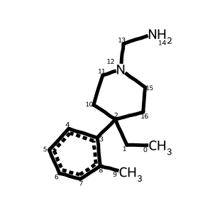 CCC1(c2ccccc2C)CCN(CN)CC1